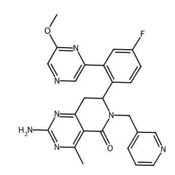 COc1cncc(-c2cc(F)ccc2C2Cc3nc(N)nc(C)c3C(=O)N2Cc2cccnc2)n1